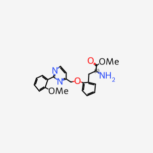 COC(=O)[C@@H](N)Cc1ccccc1OCc1ccnc(-c2ccccc2OC)n1